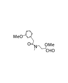 COc1cccc(CC(=O)N(C)CCC(C=O)OC)c1